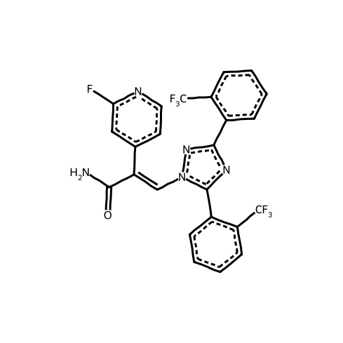 NC(=O)C(=Cn1nc(-c2ccccc2C(F)(F)F)nc1-c1ccccc1C(F)(F)F)c1ccnc(F)c1